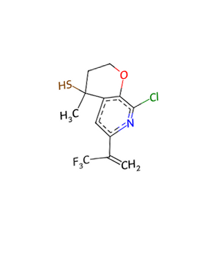 C=C(c1cc2c(c(Cl)n1)OCCC2(C)S)C(F)(F)F